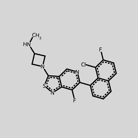 CNC1CN(c2snc3c(F)c(-c4cccc5ccc(F)c(Cl)c45)ncc23)C1